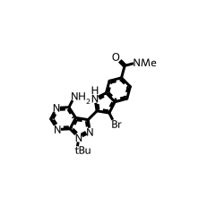 CNC(=O)c1ccc2c(Br)c(-c3nn(C(C)(C)C)c4ncnc(N)c34)[nH]c2c1